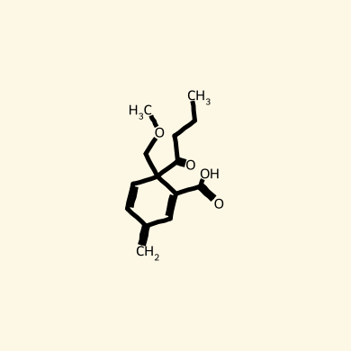 C=C1C=CC(COC)(C(=O)CCC)C(C(=O)O)=C1